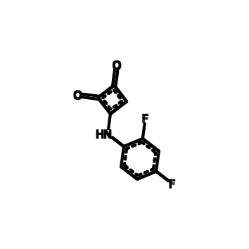 O=c1cc(Nc2ccc(F)cc2F)c1=O